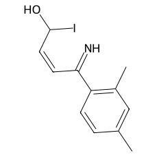 Cc1ccc(C(=N)/C=C\C(O)I)c(C)c1